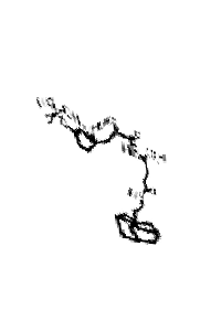 CC(=O)NC(Cc1ccc(OP(=O)(O)O)cc1)C(=O)NC(CCC(=O)NCCC12CC3CC(CC(C3)C1)C2)C(=O)O